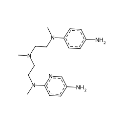 CN(CCN(C)c1ccc(N)cc1)CCN(C)c1ccc(N)cn1